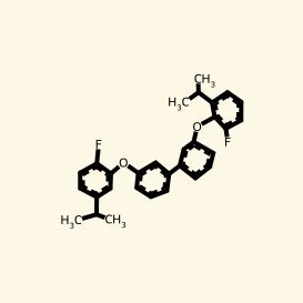 CC(C)c1ccc(F)c(Oc2cccc(-c3cccc(Oc4c(F)cccc4C(C)C)c3)c2)c1